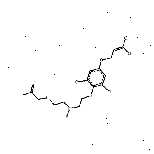 CC(=O)COCCN(C)CCOc1c(Cl)cc(OCC=C(Cl)Cl)cc1Cl